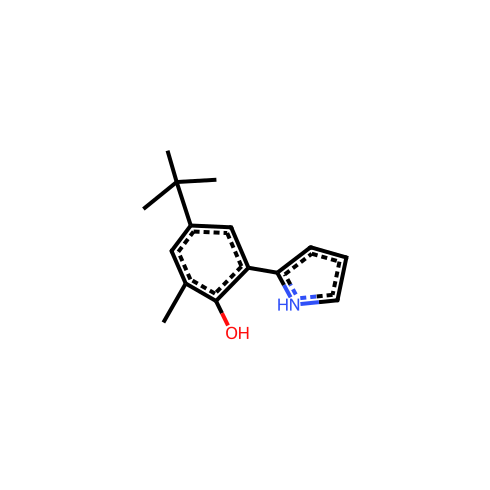 Cc1cc(C(C)(C)C)cc(-c2ccc[nH]2)c1O